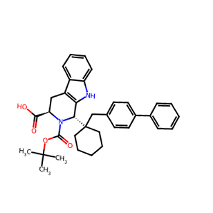 CC(C)(C)OC(=O)N1[C@@H](C(=O)O)Cc2c([nH]c3ccccc23)[C@@H]1C1(Cc2ccc(-c3ccccc3)cc2)CCCCC1